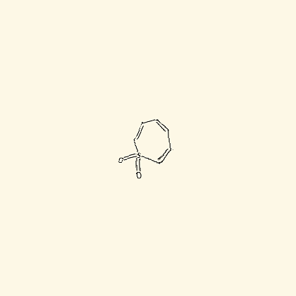 O=S1(=O)C=[C]C=CC=C1